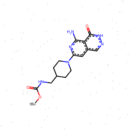 CC(C)(C)OC(=O)NCC1CCN(c2cc3cn[nH]c(=O)c3c(N)n2)CC1